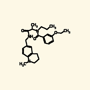 CCCN(C(=O)c1cccc(OCC)c1)C(C)C(=O)NCc1ccc2c(c1)CCCN2C